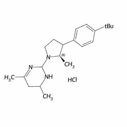 CC1=NC(N2CCC(c3ccc(C(C)(C)C)cc3)[C@H]2C)NC(C)C1.Cl